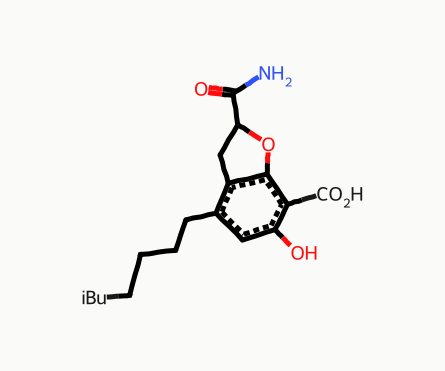 CCC(C)CCCCc1cc(O)c(C(=O)O)c2c1CC(C(N)=O)O2